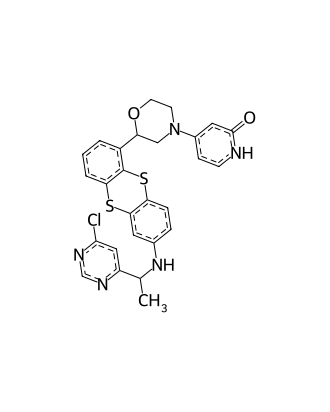 CC(Nc1ccc2c(c1)Sc1cccc(C3CN(c4cc[nH]c(=O)c4)CCO3)c1S2)c1cc(Cl)ncn1